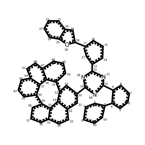 c1ccc(-c2ccccc2-c2nc(-c3cccc(-c4cc5ccccc5o4)c3)nc(-c3cc4ccc5cccc6c7cccc8ccc9cccc(c(c3)c4c56)c9c87)n2)cc1